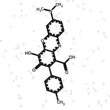 Cc1ccc(-c2c(C(=O)O)c3nc4ccc(N(C)C)cc4oc-3c(O)c2=O)cc1